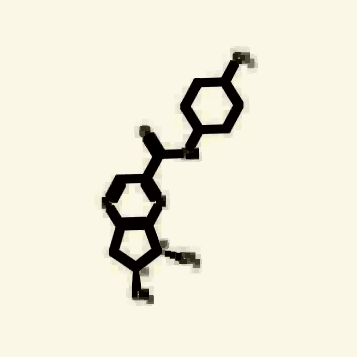 CC1CCC(NC(=O)c2cnc3c(n2)[C@H](C)[C@@H](C)C3)CC1